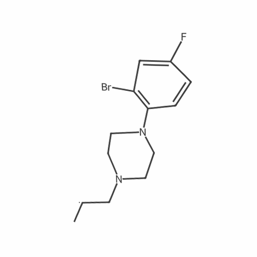 C[CH]CN1CCN(c2ccc(F)cc2Br)CC1